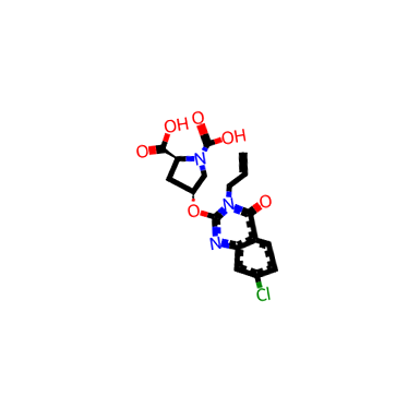 C=CCn1c(O[C@@H]2C[C@@H](C(=O)O)N(C(=O)O)C2)nc2cc(Cl)ccc2c1=O